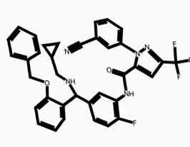 N#Cc1cccc(-n2nc(C(F)(F)F)cc2C(=O)Nc2cc(C(NCC3CC3)c3ccccc3OCc3ccccc3)ccc2F)c1